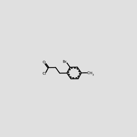 Cc1ccc(CCC(=O)Cl)c(Br)c1